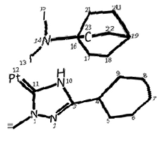 Cn1nc(C2CCCCC2)[nH][c]1=[Pt].IN(I)C12CCC(CC1)CC2